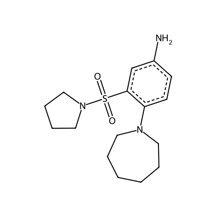 Nc1ccc(N2CCCCCC2)c(S(=O)(=O)N2CCCC2)c1